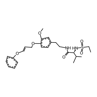 CCS(=O)(=O)N[C@H](C(=O)NCCc1ccc(OCC=COc2ccccc2)c(OC)c1)C(C)C